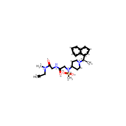 C#CCN(C)C(=O)CNC(=O)CN(C1CCN([C@H](C)c2cccc3ccccc23)CC1)S(C)(=O)=O